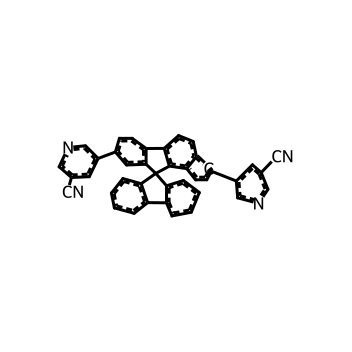 N#Cc1cncc(-c2ccc3c(c2)C2(c4ccccc4-c4ccccc42)c2c-3ccc3cc(-c4cncc(C#N)c4)ccc23)c1